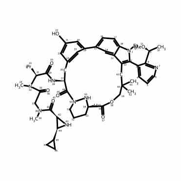 CCn1c(-c2cccnc2[C@H](C)OC)c2c3cc(ccc31)-c1cc(O)cc(c1)C[C@H](NC(=O)[C@H](C(C)C)N(C)C(=O)CN(C)C(=O)[C@H]1N[C@H]1C1CC1)C(=O)N1CCC[C@H](N1)C(=O)OCC(C)(C)C2